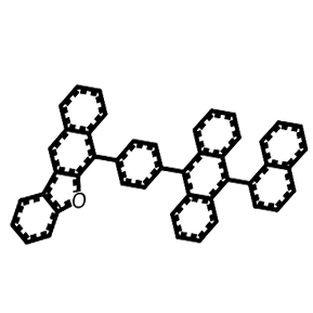 c1ccc2c(-c3c4ccccc4c(-c4ccc(-c5c6ccccc6cc6c5oc5ccccc56)cc4)c4ccccc34)cccc2c1